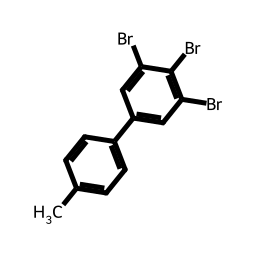 Cc1ccc(-c2cc(Br)c(Br)c(Br)c2)cc1